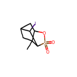 CC12CC3CC1OS(=O)(=O)C2C3I